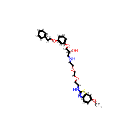 O[C@H](CNCCOCCOCCNc1nc2ccc(OC(F)(F)F)cc2s1)COc1cccc(OCCc2ccccc2)c1